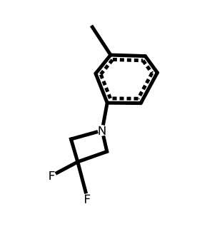 Cc1cccc(N2CC(F)(F)C2)c1